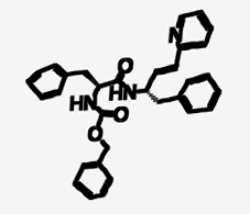 O=C(N[C@@H](Cc1ccccc1)C(=O)N[C@H](/C=C/c1ccccn1)Cc1ccccc1)OCc1ccccc1